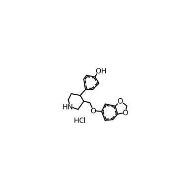 Cl.Oc1ccc(C2CCNCC2COc2ccc3c(c2)OCO3)cc1